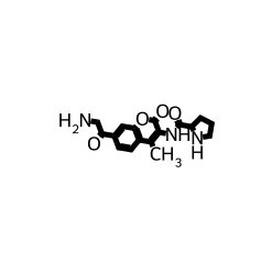 Cc1c(NC(=O)C2CCCN2)c(=O)oc2cc(C(=O)CN)ccc12